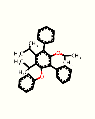 CC(C)Oc1c(-c2ccccc2)c(Oc2ccccc2)c(C(C)C)c(C(C)C)c1-c1ccccc1